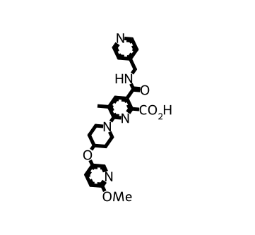 COc1ccc(OC2CCN(c3nc(C(=O)O)c(C(=O)NCc4ccncc4)cc3C)CC2)cn1